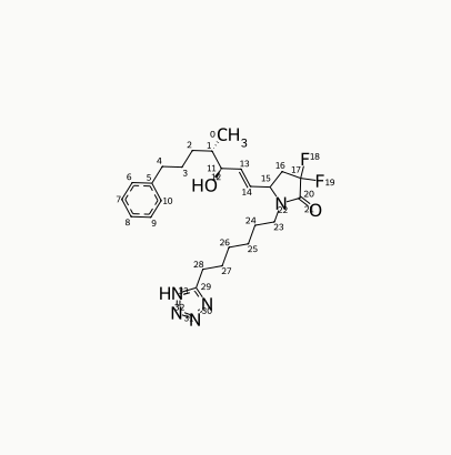 C[C@@H](CCCc1ccccc1)[C@H](O)C=CC1CC(F)(F)C(=O)N1CCCCCCc1nnn[nH]1